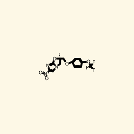 C[C@]1(COc2ccc(OC(F)(F)F)cc2)Cn2cc([N+](=O)[O-])nc2O1